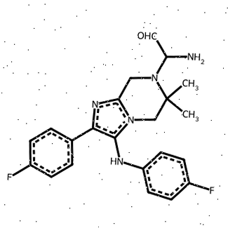 CC1(C)Cn2c(nc(-c3ccc(F)cc3)c2Nc2ccc(F)cc2)CN1C(N)C=O